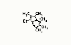 CCC1C(C)=C(C)c2c1cc(C)c(C)c2C